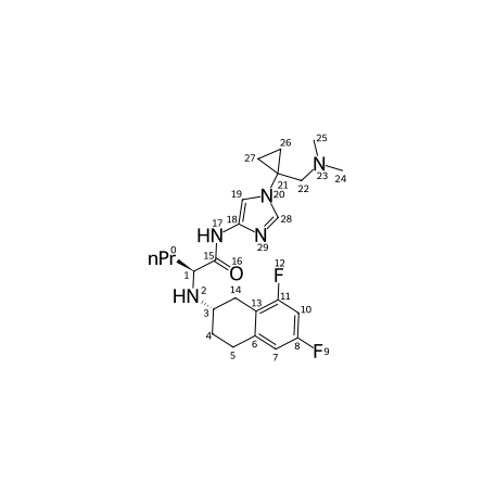 CCC[C@H](N[C@H]1CCc2cc(F)cc(F)c2C1)C(=O)Nc1cn(C2(CN(C)C)CC2)cn1